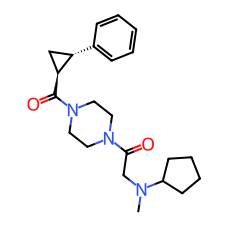 CN(CC(=O)N1CCN(C(=O)[C@H]2C[C@@H]2c2ccccc2)CC1)C1CCCC1